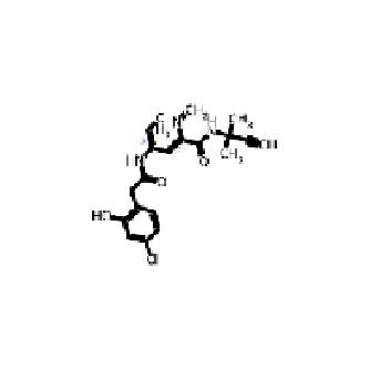 C#CC(C)(C)NC(=O)/C(=C/C(=C\C)NC(=O)Cc1ccc(Cl)cc1O)N=C